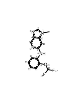 Cn1cnc2cnc(Nc3ccccc3OC(F)F)cc21